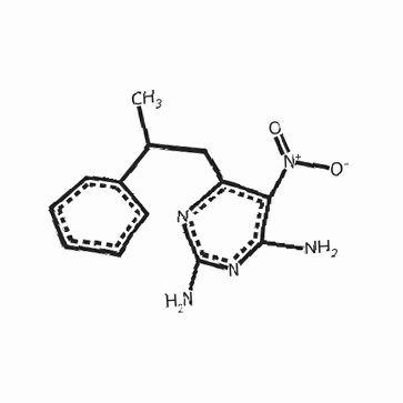 CC(Cc1nc(N)nc(N)c1[N+](=O)[O-])c1ccccc1